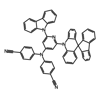 N#Cc1ccc(N(c2ccc(C#N)cc2)c2cc(N3c4ccccc4C4(c5ccccc5-c5ccccc54)c4ccccc43)nc(-n3c4ccccc4c4ccccc43)c2)cc1